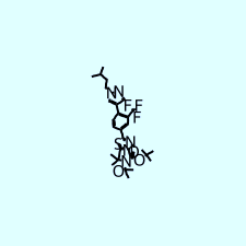 CC(C)CCn1cc(-c2ccc(-c3nnc(C4(C)COC(C)(C)N4C(=O)OC(C)(C)C)s3)cc2C(F)(F)F)cn1